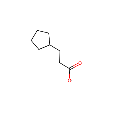 [O]C(=O)CCC1CCCC1